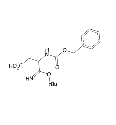 CC(C)(C)OC(=N)C(CC(=O)O)NC(=O)OCc1ccccc1